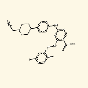 [C-]#[N+]CN1CCC(c2ccc(Nc3cc(NCc4cc(F)ccc4F)c(C(N)=O)cn3)cc2)CC1